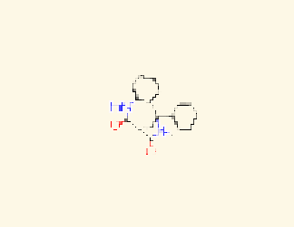 CN1C(=O)C2CC1(c1ccccc1)c1ccccc1NC2=O